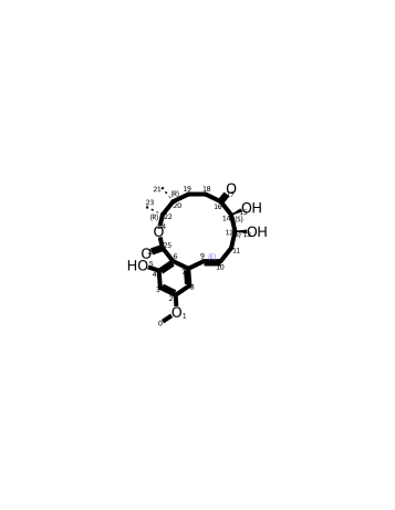 COc1cc(O)c2c(c1)/C=C/C[C@H](O)[C@H](O)C(=O)CC[C@@H](C)[C@@H](C)OC2=O